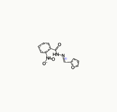 O=C(N/N=C/c1ccco1)c1ccccc1[N+](=O)[O-]